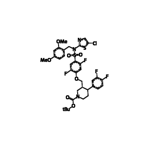 COc1ccc(CN(c2ncc(Cl)s2)S(=O)(=O)c2cc(F)c(OCC3CN(C(=O)OC(C)(C)C)CCC3c3ccc(F)c(F)c3)cc2F)c(OC)c1